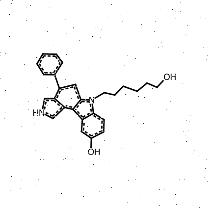 OCCCCCCn1c2ccc(O)cc2c2c3c[nH]cc3c(-c3ccccc3)cc21